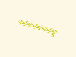 S=S=S=S=S=S=S=S=S=S=S=S=S=S=S(=S)=S